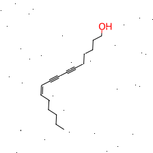 CCCCC/C=C\C#CC#CCCCCCO